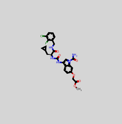 COC(=O)COc1ccc2c(NC(=O)N[C@@H](CC3CC3)C(=O)NCc3cccc(Cl)c3F)cn(C(N)=O)c2c1